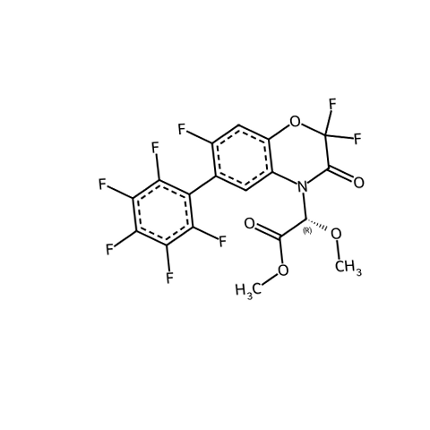 COC(=O)[C@@H](OC)N1C(=O)C(F)(F)Oc2cc(F)c(-c3c(F)c(F)c(F)c(F)c3F)cc21